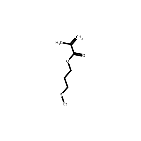 C=C(C)C(=O)OCCCSCC